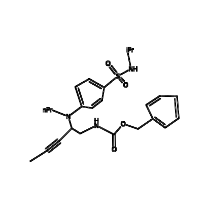 CC#CC(CNC(=O)OCc1ccccc1)N(CCC)c1ccc(S(=O)(=O)NC(C)C)cc1